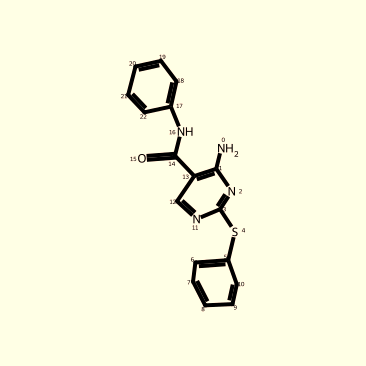 Nc1nc(Sc2ccccc2)ncc1C(=O)Nc1ccccc1